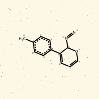 Cc1ccc(C2=CC=COC2N=[N])cc1